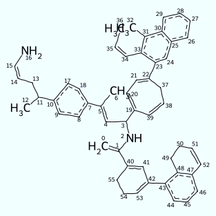 C=C(NC(/C=C(\C)c1ccc(C(C)C/C=C\N)cc1)C1=CC=C(c2cc3ccccc3c(C)c2/C=C\C)CC=C1)C1=CC(c2cccc3c2CCC=C3)=CCC1